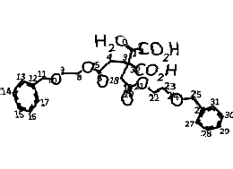 C=C(C(=O)O)C(CC(=O)OCCOCc1ccccc1)(CC(=O)OCCOCc1ccccc1)C(=O)O